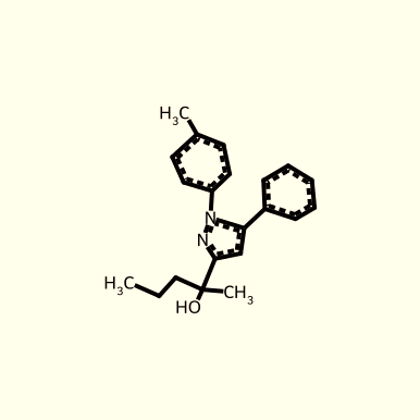 CCCC(C)(O)c1cc(-c2ccccc2)n(-c2ccc(C)cc2)n1